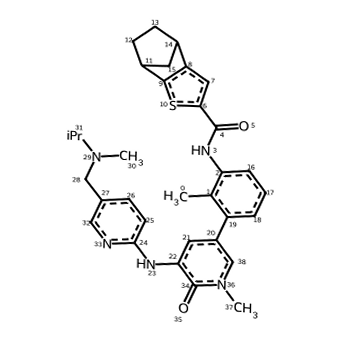 Cc1c(NC(=O)c2cc3c(s2)C2CCC3C2)cccc1-c1cc(Nc2ccc(CN(C)C(C)C)cn2)c(=O)n(C)c1